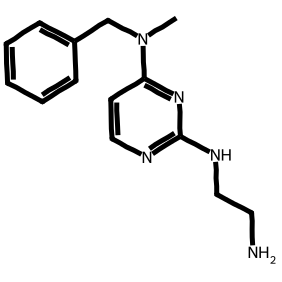 CN(Cc1ccccc1)c1ccnc(NCCN)n1